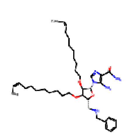 CCCCCCCC/C=C\CCCCCCCCO[C@@H]1[C@H](OCCCCCCCC/C=C\CCCCCCCC)[C@@H](CNCc2ccccc2)O[C@H]1n1cnc(C(N)=O)c1N